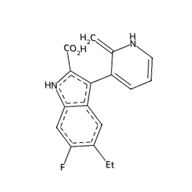 C=C1NC=CC=C1c1c(C(=O)O)[nH]c2cc(F)c(CC)cc12